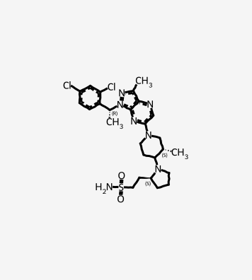 Cc1nn([C@H](C)c2ccc(Cl)cc2Cl)c2nc(N3CCC(N4CCC[C@H]4CCS(N)(=O)=O)[C@@H](C)C3)cnc12